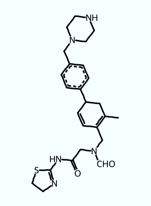 CC1=C(CN(C=O)CC(=O)NC2=NCCS2)C=CC(c2ccc(CN3CCNCC3)cc2)C1